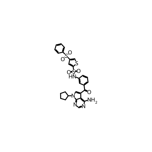 Nc1ncnc2c1c(C(=O)c1cccc(NS(=O)(=O)c3cc(S(=O)(=O)c4ccccc4)cs3)c1)cn2C1CCCC1